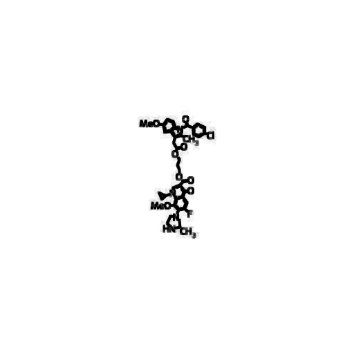 COc1ccc2c(c1)c(CC(=O)OCCCOC(=O)c1cn(C3CC3)c3c(OC)c(N4CCNC(C)C4)c(F)cc3c1=O)c(C)n2C(=O)c1ccc(Cl)cc1